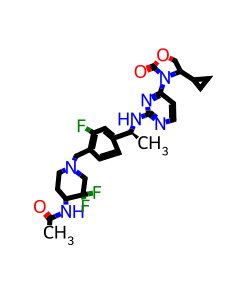 CC(=O)NC1CCN(Cc2ccc([C@H](C)Nc3nccc(N4C(=O)OCC4C4CC4)n3)cc2F)CC1(F)F